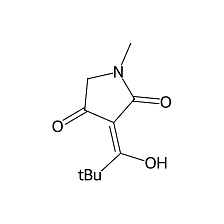 CN1CC(=O)/C(=C(/O)C(C)(C)C)C1=O